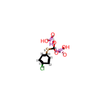 O=[PH](O)OC(O[PH](=O)O)Sc1ccc(Cl)cc1